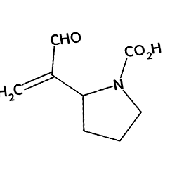 C=C(C=O)C1CCCN1C(=O)O